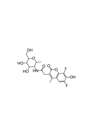 Cc1c(CC(=O)NC2C(C)OC(CO)C(O)C2O)c(=O)oc2c(F)c(O)c(F)cc12